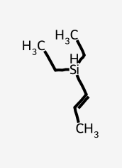 CC=C[SiH](CC)CC